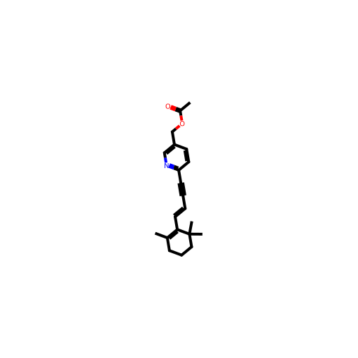 CC(=O)OCc1ccc(C#C/C=C/C2=C(C)CCCC2(C)C)nc1